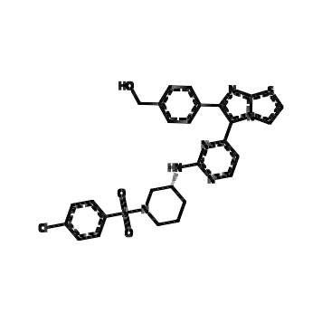 O=S(=O)(c1ccc(Cl)cc1)N1CCC[C@@H](Nc2nccc(-c3c(-c4ccc(CO)cc4)nc4sccn34)n2)C1